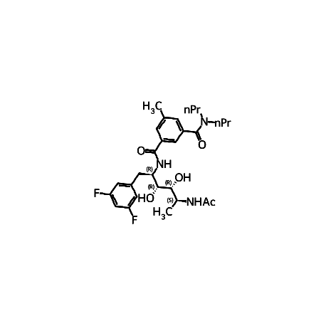 CCCN(CCC)C(=O)c1cc(C)cc(C(=O)N[C@H](Cc2cc(F)cc(F)c2)[C@@H](O)[C@H](O)[C@H](C)NC(C)=O)c1